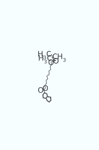 CCC(C)(C)C(=O)OCCCCCCCCCCOC(=O)c1ccc2ccccc2c1